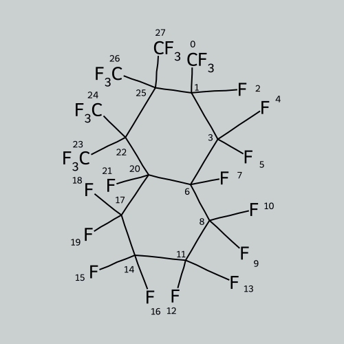 FC(F)(F)C1(F)C(F)(F)C2(F)C(F)(F)C(F)(F)C(F)(F)C(F)(F)C2(F)C(C(F)(F)F)(C(F)(F)F)C1(C(F)(F)F)C(F)(F)F